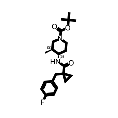 C[C@H]1CN(C(=O)OC(C)(C)C)CC[C@@H]1NC(=O)C1(Cc2ccc(F)cc2)CC1